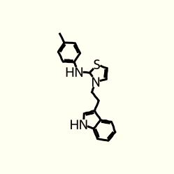 Cc1ccc(NC2SC=CN2CCc2c[nH]c3ccccc23)cc1